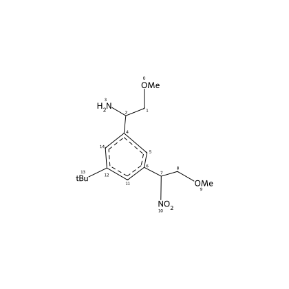 COCC(N)c1cc(C(COC)[N+](=O)[O-])cc(C(C)(C)C)c1